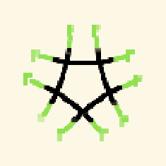 FC1(F)C(F)(F)C(F)(F)C(F)(F)C1(F)F